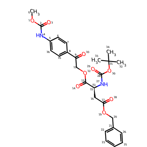 COC(=O)Nc1ccc(C(=O)COC(=O)[C@H](CC(=O)OCc2ccccc2)NC(=O)OC(C)(C)C)cc1